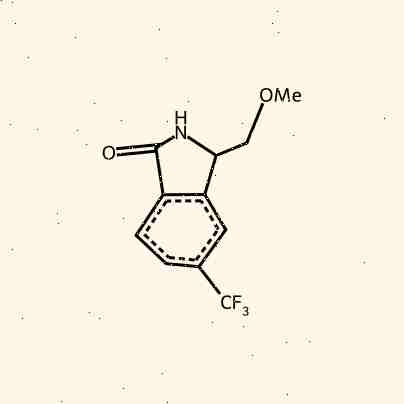 COCC1NC(=O)c2ccc(C(F)(F)F)cc21